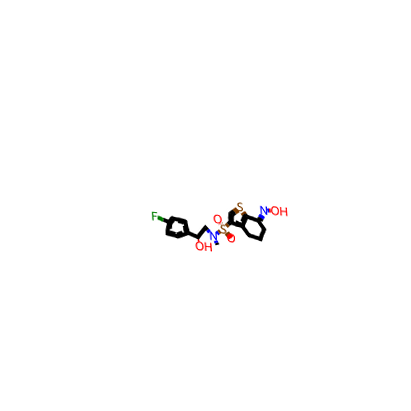 CN(C[C@H](O)c1ccc(F)cc1)S(=O)(=O)c1csc2c1CCCC2=NO